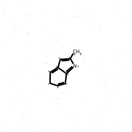 CC1=CC2=CCC=CC2=N1